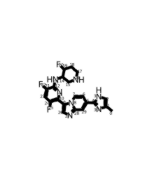 Cc1c[nH]c(-c2ccn3c(-c4nc(NC5CNCCC5F)c(F)cc4F)cnc3c2)n1